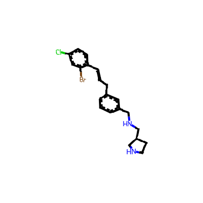 Clc1ccc(C=CCc2cccc(CNCC3CCNC3)c2)c(Br)c1